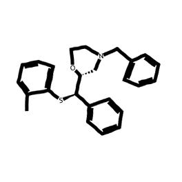 Cc1ccccc1S[C@H](c1ccccc1)[C@H]1CN(Cc2ccccc2)CCO1